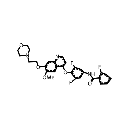 COc1cc2c(Oc3c(F)cc(NC(=O)c4ccccc4F)cc3F)ccnc2cc1OCCN1CCOCC1